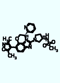 Cc1noc(C)c1-c1ccc2nc(N3CC[C@@H](NS(C)(=O)=O)C3)n3c2c1OC[C@@H]3c1ccccn1